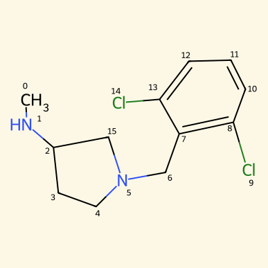 CNC1CCN(Cc2c(Cl)cccc2Cl)C1